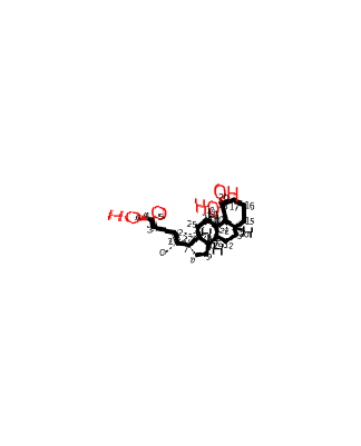 C[C@H](CCC(=O)O)[C@H]1CC[C@H]2[C@@H]3CC[C@H]4CCCC(O)(O)[C@]4(C)[C@H]3CC[C@]12C